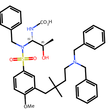 COc1ccc(S(=O)(=O)N(Cc2ccccc2)[C@H](NC(=O)O)[C@@H](C)O)cc1CC(C)(C)CCN(Cc1ccccc1)Cc1ccccc1